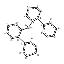 c1ccc(-c2ccccc2Nc2ccccc2-c2ccccn2)nc1